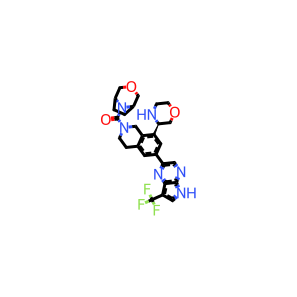 O=C(N1CCc2cc(-c3cnc4[nH]cc(C(F)(F)F)c4n3)cc([C@@H]3COCCN3)c2C1)N1C2CCC1COC2